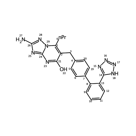 CCCc1c(Cc2ccc(-c3ccccc3-c3nnn[nH]3)cc2)c(O)nc2nc(N)nn12